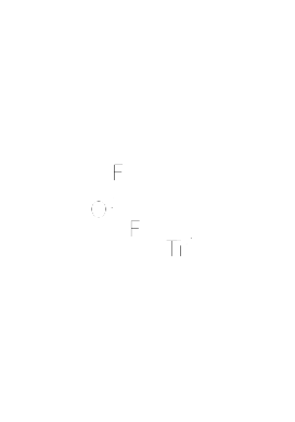 [F-].[F-].[O-2].[Ti+4]